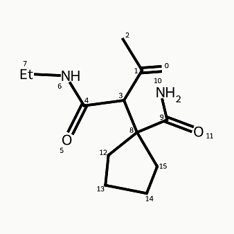 C=C(C)C(C(=O)NCC)C1(C(N)=O)CCCC1